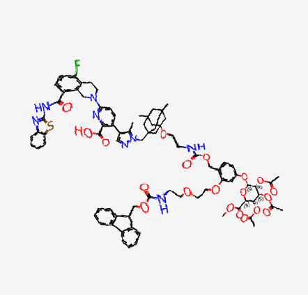 COC(=O)[C@H]1O[C@@H](Oc2ccc(COC(=O)NCCOC34CC5(C)CC(C)(CC(Cn6ncc(-c7ccc(N8CCc9c(F)ccc(C(=O)Nc%10nc%11ccccc%11s%10)c9C8)nc7C(=O)O)c6C)(C5)C3)C4)c(OCCOCCNC(=O)OCC3c4ccccc4-c4ccccc43)c2)[C@H](OC(C)=O)[C@@H](OC(C)=O)[C@@H]1OC(C)=O